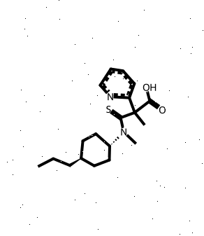 CCC[C@H]1CC[C@H](N(C)C(=S)C(C)(C(=O)O)c2ccccn2)CC1